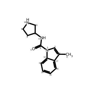 Cc1cn(C(=O)NC2CCNC2)c2ccccc12